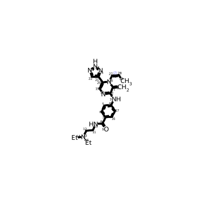 C=C1C(Nc2ccc(C(=O)NCCN(CC)CC)cc2)=NC=C(c2cn[nH]n2)N1/C=C\C